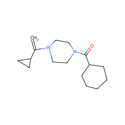 C=C(C1CC1)N1CCN(C(=O)C2CCCCC2)CC1